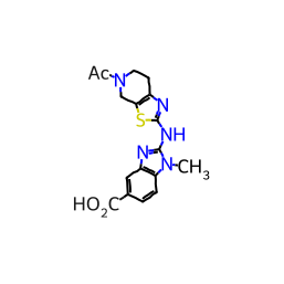 CC(=O)N1CCc2nc(Nc3nc4cc(C(=O)O)ccc4n3C)sc2C1